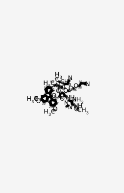 CONc1ncnc(N[C@@H]2O[C@H](COC(c3ccccc3)(c3ccc(OC)cc3)c3ccc(OC)cc3)C(OP(OCCC#N)N(C(C)C)C(C)C)C2OCOCOCCC#N)c1N